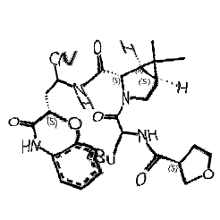 CC(C)(C)C(NC(=O)[C@H]1CCOC1)C(=O)N1C[C@H]2[C@@H]([C@H]1C(=O)NC(C#N)C[C@@H]1Oc3ccccc3NC1=O)C2(C)C